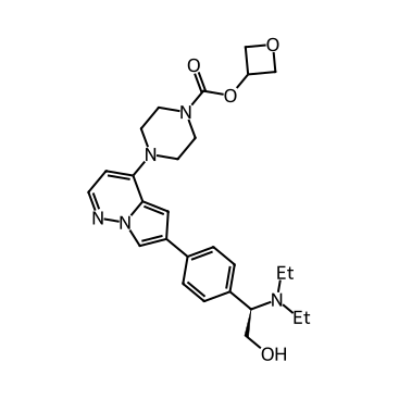 CCN(CC)[C@@H](CO)c1ccc(-c2cc3c(N4CCN(C(=O)OC5COC5)CC4)ccnn3c2)cc1